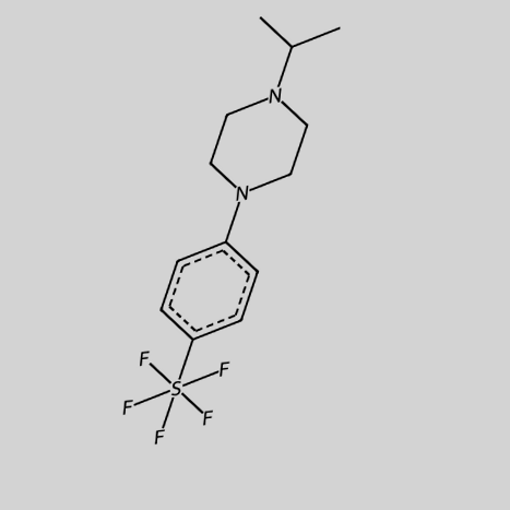 CC(C)N1CCN(c2ccc(S(F)(F)(F)(F)F)cc2)CC1